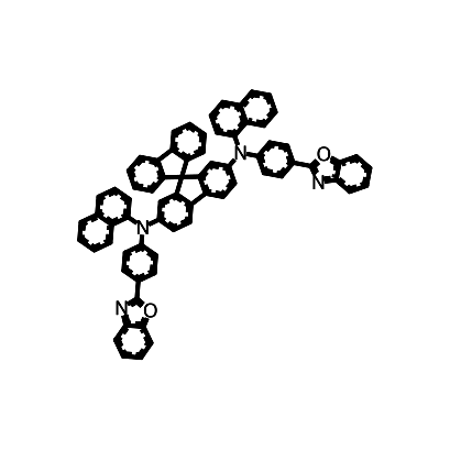 c1ccc2c(c1)-c1ccccc1C21c2cc(N(c3ccc(-c4nc5ccccc5o4)cc3)c3cccc4ccccc34)ccc2-c2ccc(N(c3ccc(-c4nc5ccccc5o4)cc3)c3cccc4ccccc34)cc21